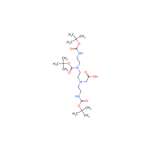 CC(C)(C)OC(=O)NCCN(CCN(CCNC(=O)OC(C)(C)C)C(=O)OC(C)(C)C)CC(=O)O